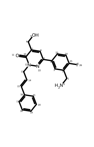 NCc1cc(-c2cc(CO)c(=O)n(CC=Cc3ccccc3)n2)ccc1F